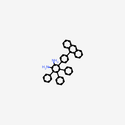 Nc1c(N)c(-c2ccc(-c3c4ccccc4cc4ccccc34)cc2)c(-c2ccccc2)c(-c2ccccc2)c1-c1ccccc1